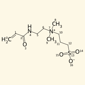 C=CC(=O)NCC[N+](C)(C)CCCS(=O)(=O)[O-]